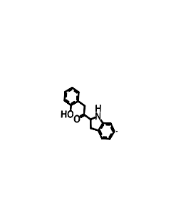 O=C(Cc1ccccc1O)C1Cc2cc[c]cc2N1